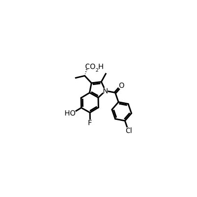 Cc1c([C@H](C)C(=O)O)c2cc(O)c(F)cc2n1C(=O)c1ccc(Cl)cc1